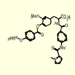 CCCCCCCOc1ccc(C(=O)OC2=CCC(CC(NC(=O)c3ccc(NC(=O)c4cccn4C)cc3)C(=O)O)C=C2OC)cc1